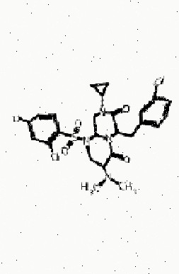 CN(C)C1CN(S(=O)(=O)c2ccc(Cl)cc2Cl)C2CN(C3CC3)C(=O)C(Cc3cccc(Cl)c3)N2C1=O